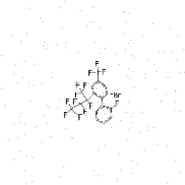 Fc1ccccc1-c1c(Br)[c]c(C(F)(F)F)cc1C(F)(C(F)(F)F)C(F)(F)C(F)(F)F